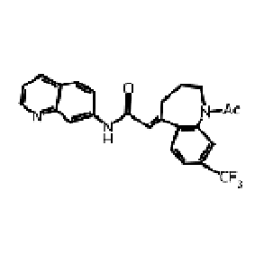 CC(=O)N1CCCC(=CC(=O)Nc2ccc3cccnc3c2)c2ccc(C(F)(F)F)cc21